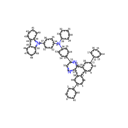 c1ccc(-c2ccc3c4ccc(-c5ccccc5)cc4c4nc(-c5ccc(N(c6ccccc6)c6ccc(-n7c8ccccc8c8ccccc87)cc6)cc5)cnc4c3c2)cc1